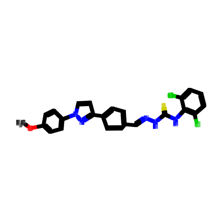 FC(F)(F)Oc1ccc(-n2ccc(-c3ccc(/C=N/NC(=S)Nc4c(Cl)cccc4Cl)cc3)n2)cc1